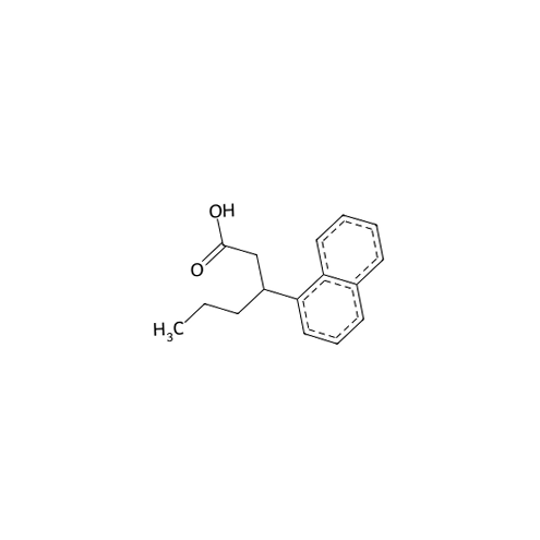 CCCC(CC(=O)O)c1cccc2ccccc12